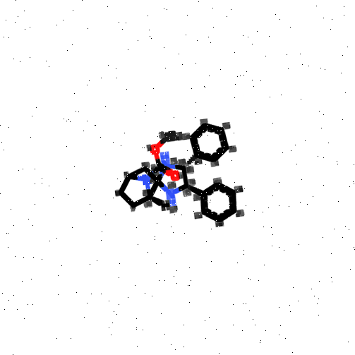 CC(C)(C)OC(=O)N1C2CC[C@H]1C1(C2)N[C@H](c2ccccc2)[C@@H](c2ccccc2)N1